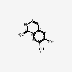 C=C1NC=Nc2cc(O)c(O)cc21